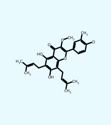 COc1c(-c2ccc(Cl)c(C)c2)oc2c(CC=C(C)C)c(O)c(CC=C(C)C)c(O)c2c1=O